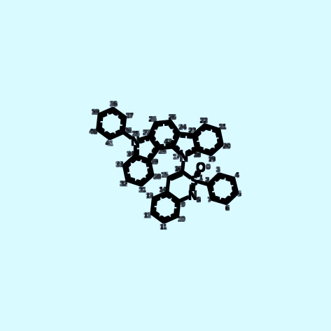 O=S1(c2ccccc2)=Nc2ccccc2C=C1n1c2ccccc2c2ccc3c(c4ccccc4n3-c3ccccc3)c21